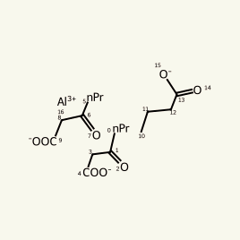 CCCC(=O)CC(=O)[O-].CCCC(=O)CC(=O)[O-].CCCC(=O)[O-].[Al+3]